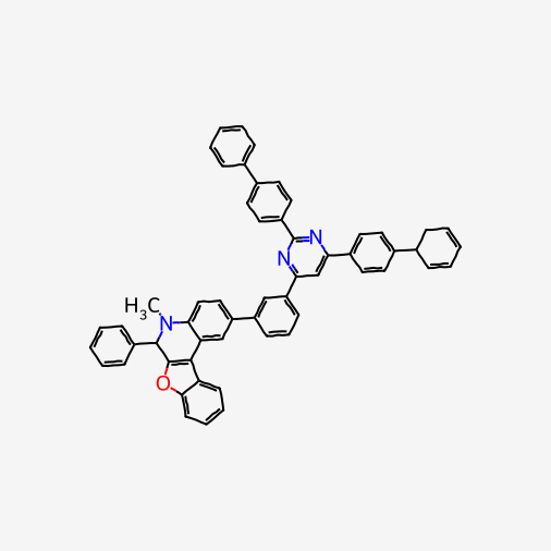 CN1c2ccc(-c3cccc(-c4cc(-c5ccc(C6C=CC=CC6)cc5)nc(-c5ccc(-c6ccccc6)cc5)n4)c3)cc2-c2c(oc3ccccc23)C1c1ccccc1